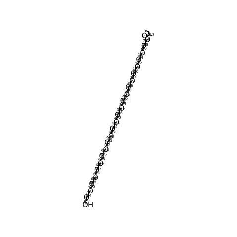 CC=C(C)C(=O)OCCOCCOCCOCCOCCOCCOCCOCCOCCOCCOCCOCCOCCOCCOCCOCCOCCOCCOCCOCCOCCOCCOCCOCCO